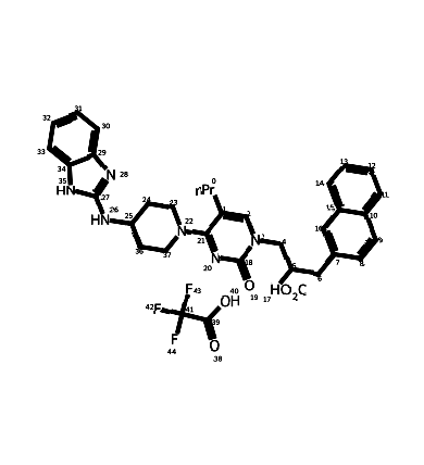 CCCc1cn(CC(Cc2ccc3ccccc3c2)C(=O)O)c(=O)nc1N1CCC(Nc2nc3ccccc3[nH]2)CC1.O=C(O)C(F)(F)F